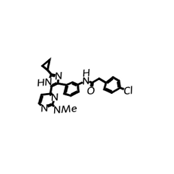 CNc1nccc(-c2[nH]c(C3CC3)nc2-c2cccc(NC(=O)Cc3ccc(Cl)cc3)c2)n1